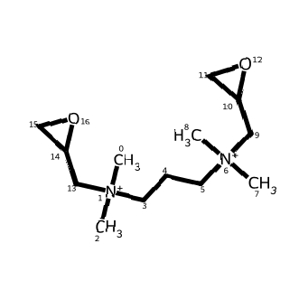 C[N+](C)(CCC[N+](C)(C)CC1CO1)CC1CO1